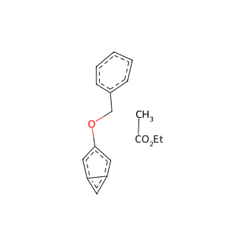 CCOC(C)=O.c1ccc(COc2cc3cc-3c2)cc1